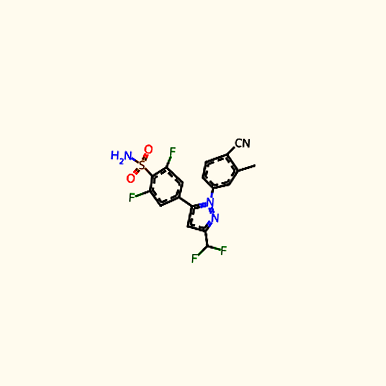 Cc1cc(-n2nc(C(F)F)cc2-c2cc(F)c(S(N)(=O)=O)c(F)c2)ccc1C#N